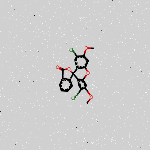 COc1cc2c(cc1Cl)C1(OC(=O)c3ccccc31)c1cc(Cl)c(OC)cc1O2